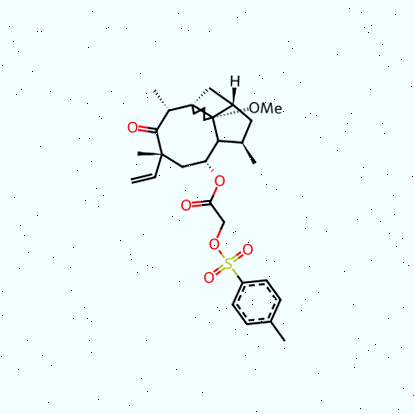 C=C[C@@]1(C)C[C@@H](OC(=O)COS(=O)(=O)c2ccc(C)cc2)C2[C@H](C)C[C@H]3C[C@]4(CC[C@@H](OC)C234)[C@@H](C)C1=O